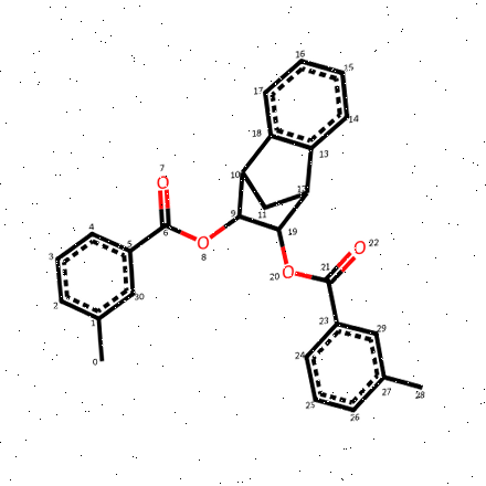 Cc1cccc(C(=O)OC2C3CC(c4ccccc43)C2OC(=O)c2cccc(C)c2)c1